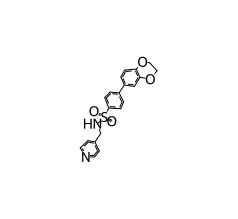 O=S(=O)(NCc1ccncc1)c1ccc(-c2ccc3c(c2)OCCO3)cc1